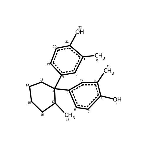 Cc1cc(C2(c3ccc(O)c(C)c3)CCCCC2C)ccc1O